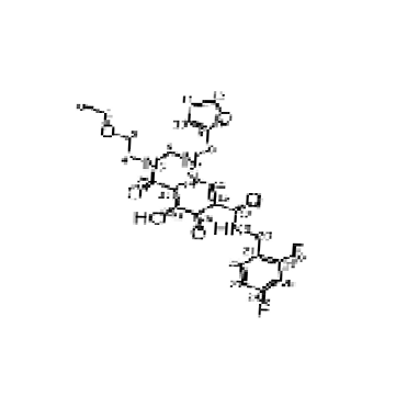 CCOCCN1CN(Cc2ccco2)n2cc(C(=O)NCc3ccc(F)cc3F)c(=O)c(O)c2C1=O